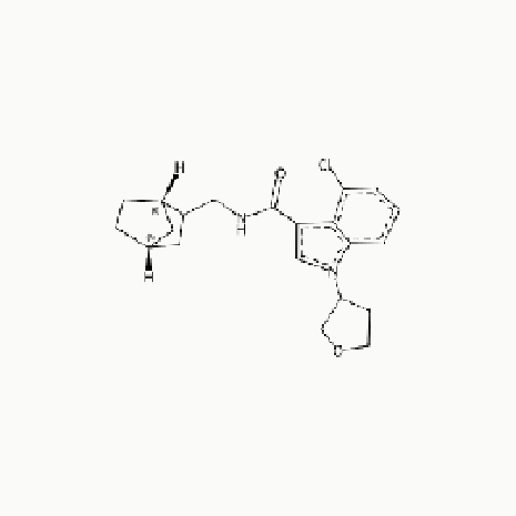 O=C(NCC1C[C@@H]2CC[C@H]1C2)c1cn(C2CCOC2)c2cccc(Cl)c12